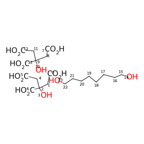 O=C(O)CC(O)(CC(=O)O)C(=O)O.O=C(O)CC(O)(CC(=O)O)C(=O)O.OCCCCCCCCO